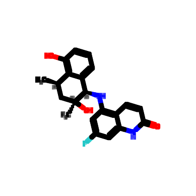 C[C@@H]1C[C@@](O)(C(F)(F)F)[C@H](Nc2cc(F)cc3[nH]c(=O)ccc23)c2cccc(O)c21